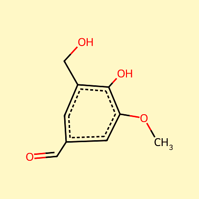 COc1cc(C=O)cc(CO)c1O